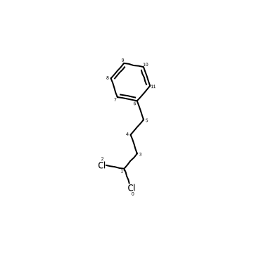 Cl[C](Cl)CCCc1ccccc1